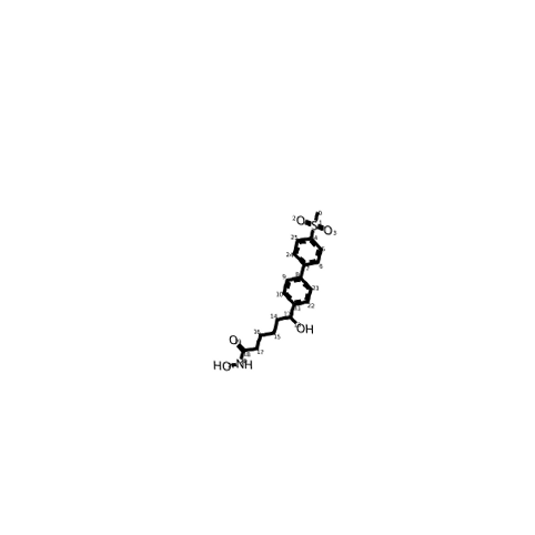 CS(=O)(=O)c1ccc(-c2ccc(C(O)CCCCC(=O)NO)cc2)cc1